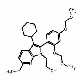 CCc1ccc2c(C3CCCCC3)c(-c3ccc(OCOC)cc3OCOC)n(CCO)c2n1